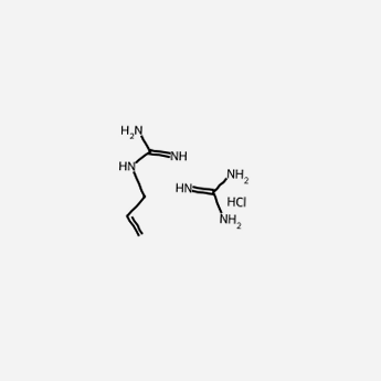 C=CCNC(=N)N.Cl.N=C(N)N